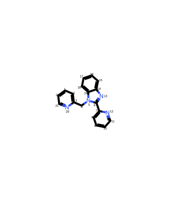 c1ccc(Cn2c(-c3ccccn3)nc3ccccc32)nc1